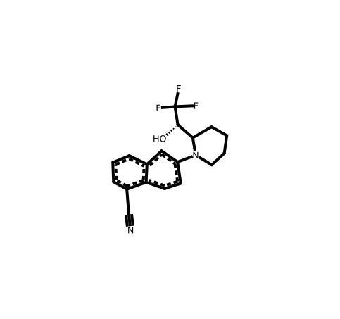 N#Cc1cccc2cc(N3CCCCC3[C@H](O)C(F)(F)F)ccc12